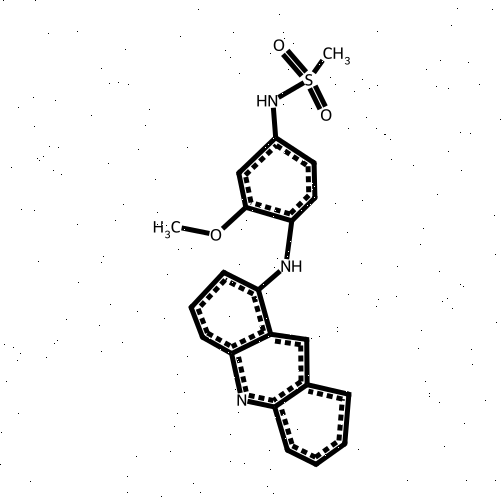 COc1cc(NS(C)(=O)=O)ccc1Nc1cccc2nc3ccccc3cc12